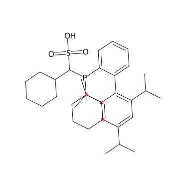 CC(C)c1cc(C(C)C)c(-c2ccccc2P(C2CCCCC2)C(C2CCCCC2)S(=O)(=O)O)c(C(C)C)c1